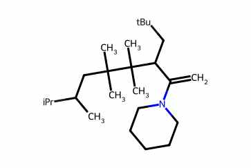 C=C(C(CC(C)(C)C)C(C)(C)C(C)(C)CC(C)C(C)C)N1CCCCC1